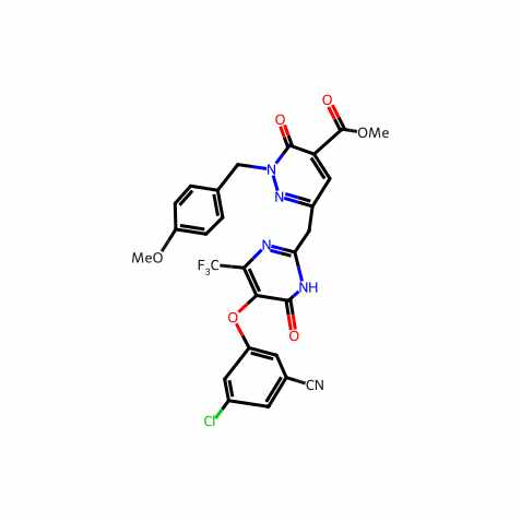 COC(=O)c1cc(Cc2nc(C(F)(F)F)c(Oc3cc(Cl)cc(C#N)c3)c(=O)[nH]2)nn(Cc2ccc(OC)cc2)c1=O